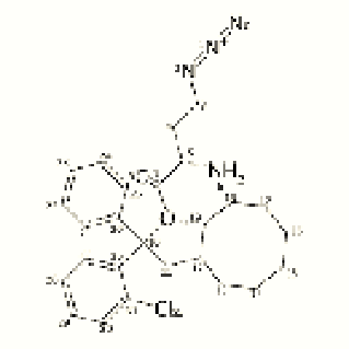 [N-]=[N+]=NCC[C@H](N)C(=O)OC(CC1CCCCCCC1)(c1ccccc1)c1ccccc1Cl